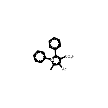 CC(=O)c1c(C(=O)O)c(-c2ccccc2)n(-c2ccccc2)c1C